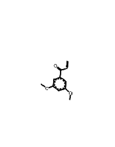 C=CC(=O)c1cc(OC)cc(OC)c1